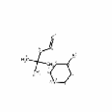 BrC1CCNCC1.CC(C)(C)OC=O